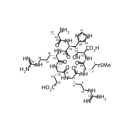 CSCC[C@H](NC(=O)[C@H](CCCNC(=N)N)NC(=O)[C@H](CCC(=O)O)NC(=O)[C@H](CCCNC(=N)N)NC(=O)[C@H](Cc1c[nH]cn1)NC(=O)[C@H](C)N)C(=O)N[C@@H](CO)C(=O)O